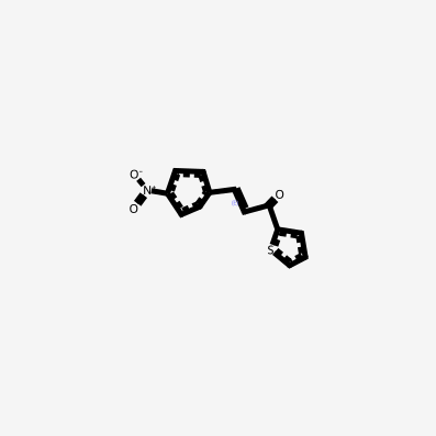 O=C(/C=C/c1ccc([N+](=O)[O-])cc1)c1cccs1